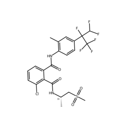 Cc1cc(C(F)(C(F)F)C(F)(F)F)ccc1NC(=O)c1cccc(Cl)c1C(=O)N[C@@H](C)CS(C)(=O)=O